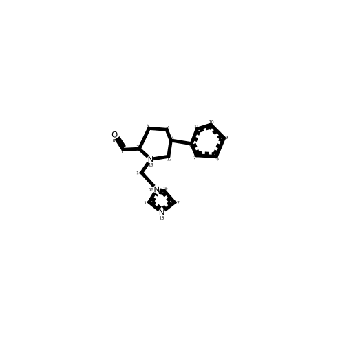 O=CC1CCC(c2ccccc2)CN1Cn1ccnc1